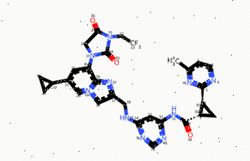 Cc1ccnc([C@H]2C[C@@H]2C(=O)Nc2cc(NCc3cn4cc(C5CC5)cc(N5CC(=O)N(CC(F)(F)F)C5=O)c4n3)ncn2)n1